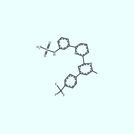 Cc1cc(-c2ccc(C(F)(F)F)cc2)cc(-c2cccc(-c3cccc(NS(N)(=O)=O)c3)n2)n1